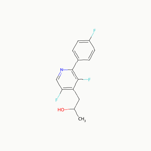 CC(O)Cc1c(F)cnc(-c2ccc(F)cc2)c1F